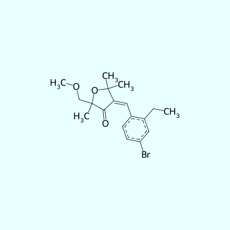 CCc1cc(Br)ccc1C=C1C(=O)C(C)(COC)OC1(C)C